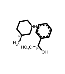 C[C@H]1CCCNC1.O=C(O)[C@@H](O)c1ccccc1